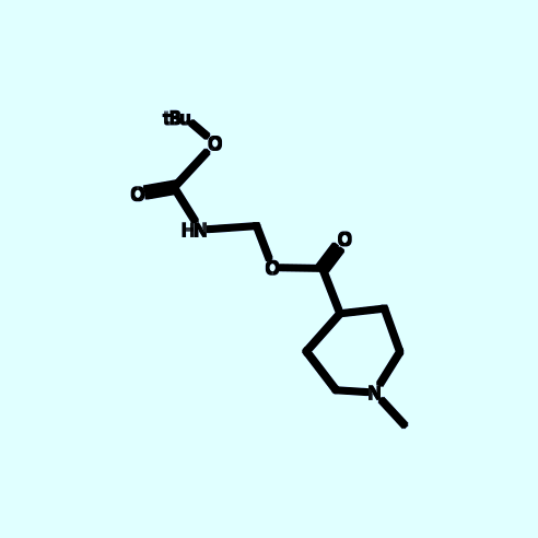 CN1CCC(C(=O)OCNC(=O)OC(C)(C)C)CC1